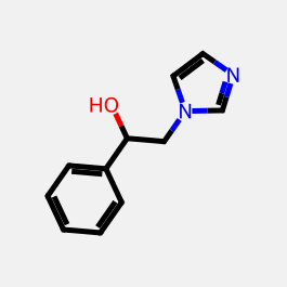 OC(Cn1ccnc1)c1ccccc1